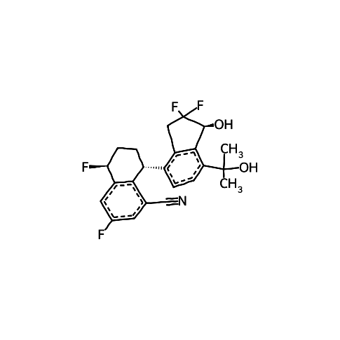 CC(C)(O)c1ccc([C@H]2CC[C@H](F)c3cc(F)cc(C#N)c32)c2c1[C@H](O)C(F)(F)C2